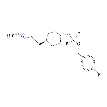 C/C=C/CC[C@H]1CC[C@H](CC(F)(F)OCc2ccc(F)cc2)CC1